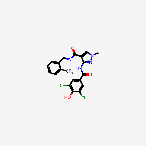 Cn1cc(C(=O)NCc2ccccc2C(F)(F)F)c(NC(=O)c2cc(Cl)c(O)c(Cl)c2)n1